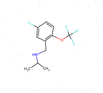 CC(C)NCc1cc(F)ccc1OC(F)(F)F